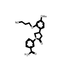 COc1ccc(C2CC(=O)N(c3cccc(C(N)=O)c3)C2)c(OCCCC#N)c1